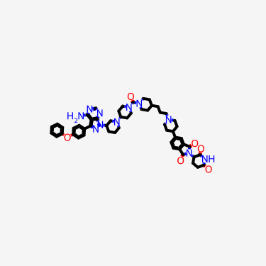 Nc1ncnc2c1c(-c1ccc(Oc3ccccc3)cc1)nn2C1CCCN(C2CCN(C(=O)N3CCC(CCCN4CCC(c5ccc6c(c5)C(=O)N(C5CCC(=O)NC5=O)C6=O)CC4)CC3)CC2)C1